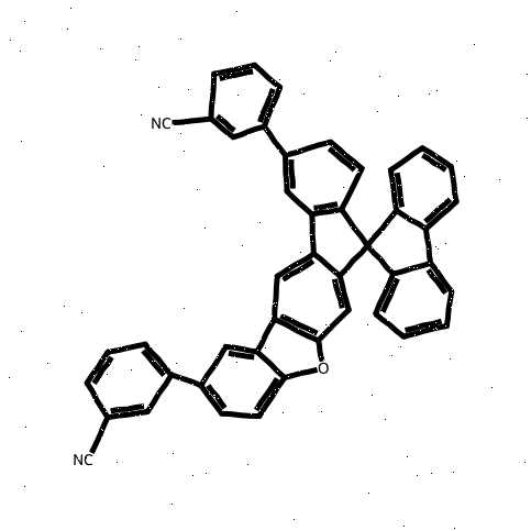 N#Cc1cccc(-c2ccc3c(c2)-c2cc4c(cc2C32c3ccccc3-c3ccccc32)oc2ccc(-c3cccc(C#N)c3)cc24)c1